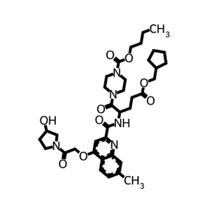 CCCCOC(=O)N1CCN(C(=O)C(CCC(=O)OCC2CCCC2)NC(=O)c2cc(OCC(=O)N3CCC(O)C3)c3ccc(C)cc3n2)CC1